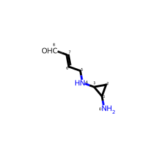 NC1CC1NCC=CC=O